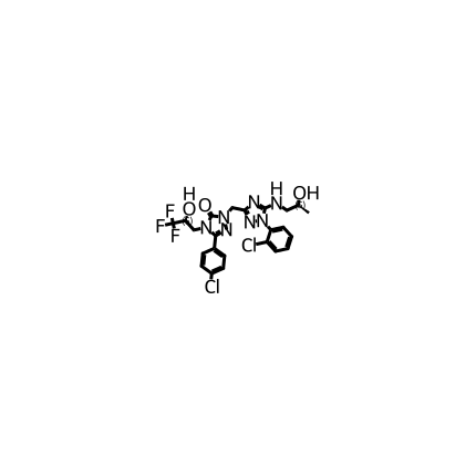 C[C@H](O)CNc1nc(Cn2nc(-c3ccc(Cl)cc3)n(C[C@H](O)C(F)(F)F)c2=O)nn1-c1ccccc1Cl